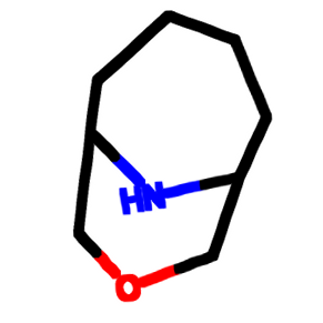 C1CCC2COCC(C1)N2